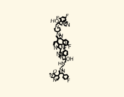 CN1Cc2nccc(-c3cn(CCNC[C@](O)(Cn4cnc(C5c6nccc(-c7cn(C8CCN(CC(O)(Cn9cncn9)c9ccc(F)cc9F)CC8)nc7-c7ccc(F)cc7)c6C(=O)N5C)n4)c4ccc(F)cc4F)nc3-c3ccc(F)cc3)c2C1=O